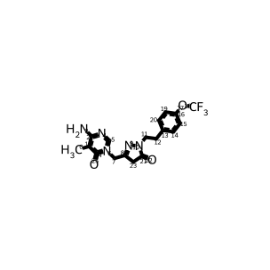 Cc1c(N)ncn(CC2=NN(CCc3ccc(OC(F)(F)F)cc3)C(=O)C2)c1=O